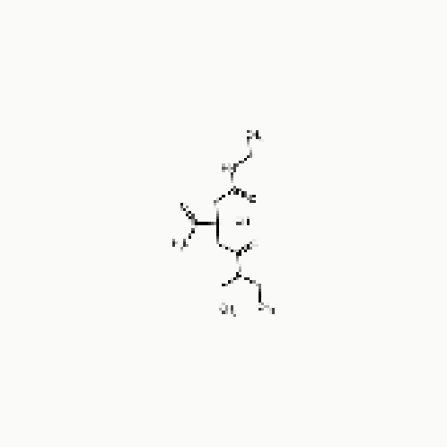 CCNC(=O)CC(O)(CC(=O)N(CC)CC)C(N)=O